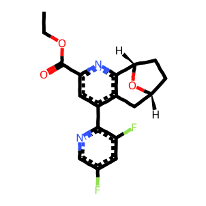 CCOC(=O)c1cc(-c2ncc(F)cc2F)c2c(n1)[C@@H]1CC[C@H](C2)O1